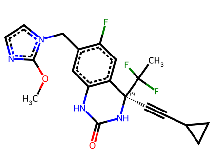 COc1nccn1Cc1cc2c(cc1F)[C@@](C#CC1CC1)(C(C)(F)F)NC(=O)N2